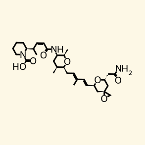 CC(/C=C/[C@@H]1C[C@]2(CO2)C[C@@H](CC(N)=O)O1)=C\C[C@@H]1O[C@H](C)[C@H](NC(=O)/C=C\C(C)[C@@H]2CCCCN2C(=O)O)C[C@@H]1C